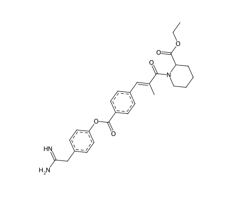 CCOC(=O)C1CCCCN1C(=O)/C(C)=C/c1ccc(C(=O)Oc2ccc(CC(=N)N)cc2)cc1